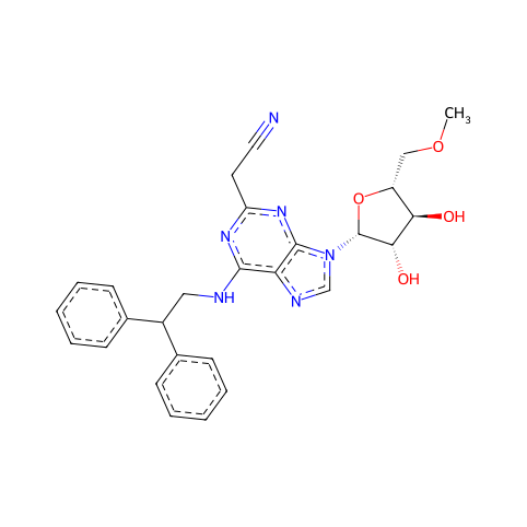 COC[C@H]1O[C@@H](n2cnc3c(NCC(c4ccccc4)c4ccccc4)nc(CC#N)nc32)[C@@H](O)[C@@H]1O